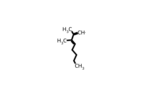 [CH]=C(C)C(C)=CCCCC